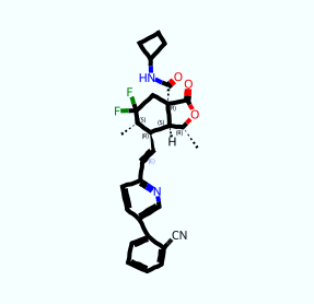 C[C@H]1OC(=O)[C@]2(C(=O)NC3CCC3)CC(F)(F)[C@@H](C)[C@H](/C=C/c3ccc(-c4ccccc4C#N)cn3)[C@H]12